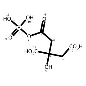 O=C(O)CC(O)(CC(=O)OP(=O)(O)O)C(=O)O